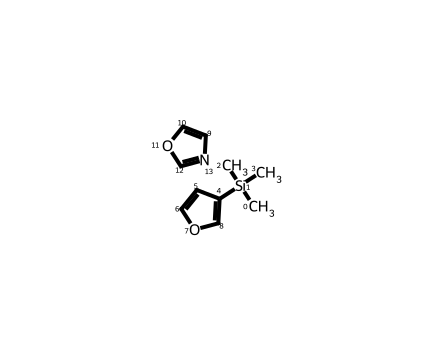 C[Si](C)(C)c1ccoc1.c1cocn1